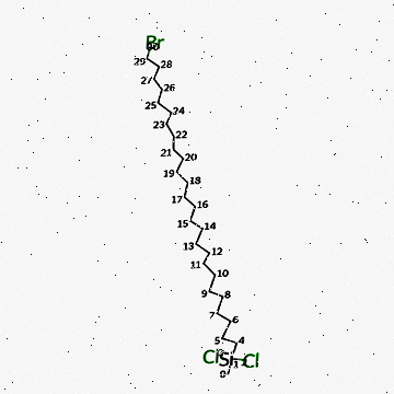 C[Si](Cl)(Cl)CCCCCCCCCCCCCCCCCCCCCCCCCCBr